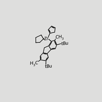 Cc1cc2c(cc1C(C)(C)C)-c1cc(C(C)(C)C)c(C)[c]([Zr]([C]3=CC=CC3)=[C]3CCCC3)c1C2